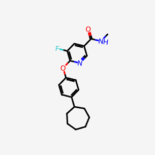 CNC(=O)c1cnc(Oc2ccc(C3CCCCCC3)cc2)c(F)c1